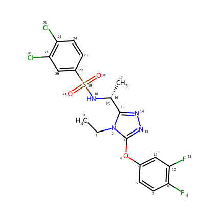 CCn1c(Oc2ccc(F)c(F)c2)nnc1[C@@H](C)NS(=O)(=O)c1ccc(Cl)c(Cl)c1